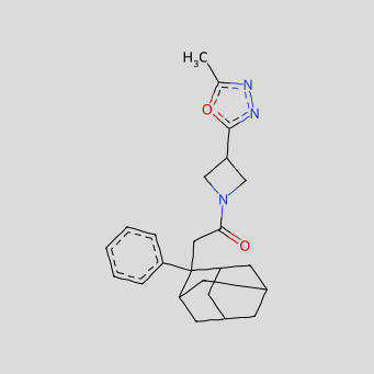 Cc1nnc(C2CN(C(=O)CC3(c4ccccc4)C4CC5CC(C4)CC3C5)C2)o1